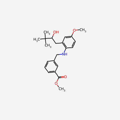 COC(=O)c1cccc(CNc2ccc(OC)cc2CC(O)C(C)(C)C)c1